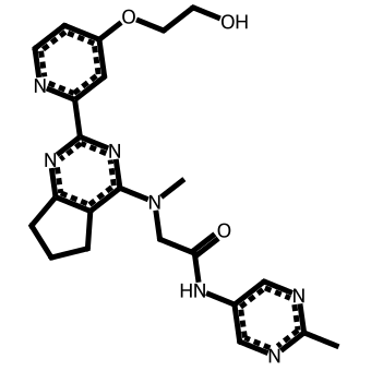 Cc1ncc(NC(=O)CN(C)c2nc(-c3cc(OCCO)ccn3)nc3c2CCC3)cn1